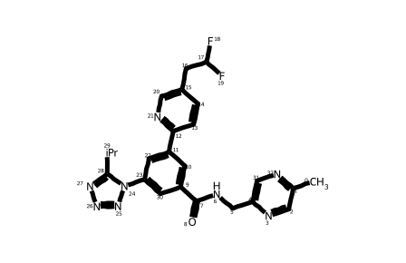 Cc1cnc(CNC(=O)c2cc(-c3ccc(CC(F)F)cn3)cc(-n3nnnc3C(C)C)c2)cn1